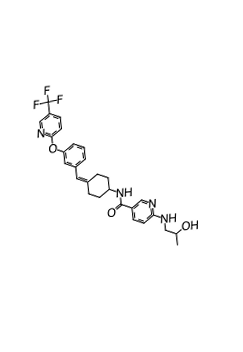 CC(O)CNc1ccc(C(=O)NC2CCC(=Cc3cccc(Oc4ccc(C(F)(F)F)cn4)c3)CC2)cn1